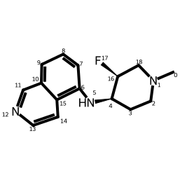 CN1CC[C@@H](Nc2cccc3cnccc23)[C@@H](F)C1